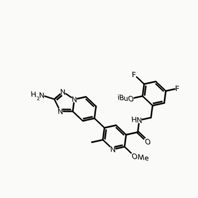 COc1nc(C)c(-c2ccn3nc(N)nc3c2)cc1C(=O)NCc1cc(F)cc(F)c1OCC(C)C